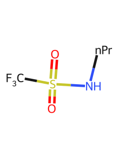 [CH2]CCNS(=O)(=O)C(F)(F)F